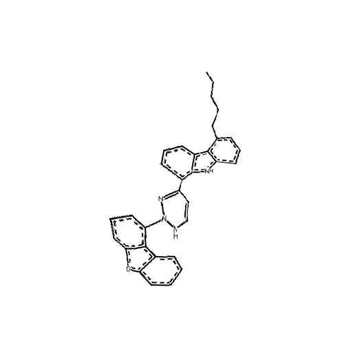 CCCCCc1cccc2[nH]c3c(C4=NN(c5cccc6oc7ccccc7c56)NC=C4)cccc3c12